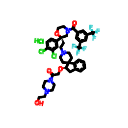 Cl.O=C(CO[C@H]1Cc2ccccc2C12CCN(CC[C@@]1(c3ccc(Cl)c(Cl)c3)CN(C(=O)c3cc(C(F)(F)F)cc(C(F)(F)F)c3)CCO1)CC2)N1CCN(CCO)CC1